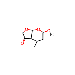 CCOC1=CC(C)C2C(=O)COC2O1